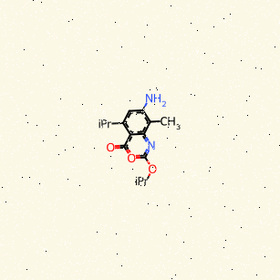 Cc1c(N)cc(C(C)C)c2c(=O)oc(OC(C)C)nc12